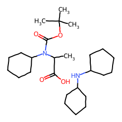 C1CCC(NC2CCCCC2)CC1.CC(C(=O)O)N(C(=O)OC(C)(C)C)C1CCCCC1